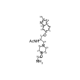 CC(=O)NC(COc1ccc2sc(C)nc2c1)CN1CCB(OCN)CC1